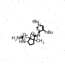 CCCCc1cn(C(C)(C)C)s/c1=N\C(=O)[C@]1(C)CC[C@H](NC(N)=O)C1(C)C